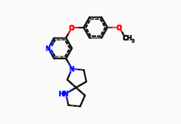 COc1ccc(Oc2cncc(N3CCC4(CCCN4)C3)c2)cc1